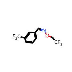 FC(F)(F)CO/N=[C]\c1cccc(C(F)(F)F)c1